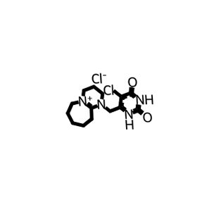 O=c1[nH]c(CN2CCC[N+]3=C2CCCCC3)c(Cl)c(=O)[nH]1.[Cl-]